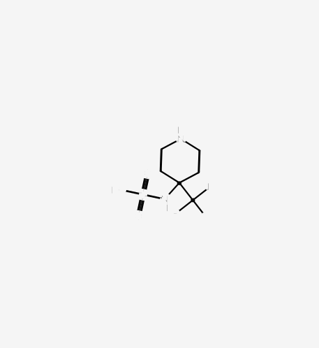 CS(=O)(=O)NC1(C(F)(F)F)CCNCC1